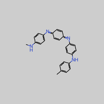 CNc1ccc(N=C2C=CC(=Nc3ccc(Nc4ccc(C)cc4)cc3)C=C2)cc1